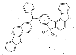 C[Si]1(C)c2cc(N(c3ccccc3)c3ccc4c(ccc5c6ccccc6sc45)c3)ccc2-c2c1ccc1oc3ccccc3c21